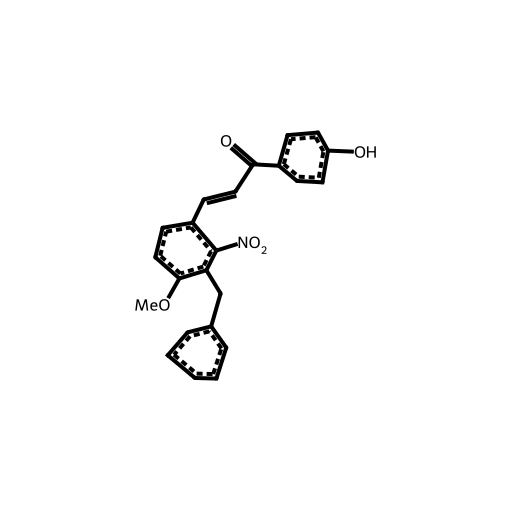 COc1ccc(C=CC(=O)c2ccc(O)cc2)c([N+](=O)[O-])c1Cc1ccccc1